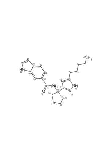 CCCCCc1nc(C2(NC(=O)c3ccc4cc[nH]c4c3)CCCC2)n[nH]1